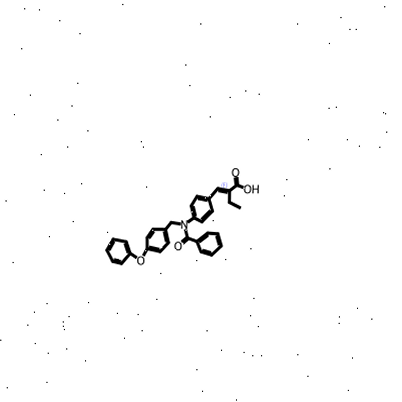 CC/C(=C\c1ccc(N(Cc2ccc(Oc3ccccc3)cc2)C(=O)c2ccccc2)cc1)C(=O)O